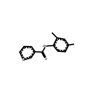 Cc1ccc(NC(=O)c2cccnc2)c(C)c1